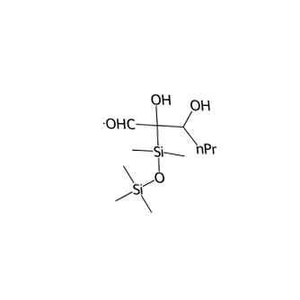 CCCC(O)C(O)([C]=O)[Si](C)(C)O[Si](C)(C)C